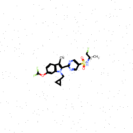 C[C@@H](CF)NS(=O)(=O)c1cnc(-c2c(C#N)c3ccc(OC(F)F)cc3n2CC2CC2)nc1